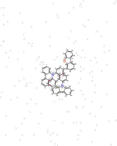 c1ccc(-c2ccccc2N(c2ccc(-c3cccc4c3oc3ccccc34)cc2)c2ccccc2-c2ccccc2-n2c3ccccc3c3ccccc32)cc1